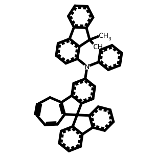 CC1(C)c2ccccc2-c2cccc(N(c3ccccc3)c3ccc4c(c3)C3=C(C=CC#CC3)C43c4ccccc4-c4ccccc43)c21